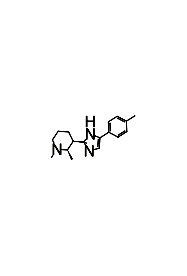 Cc1ccc(-c2cnc([C@@H]3CCCN(C)[C@@H]3C)[nH]2)cc1